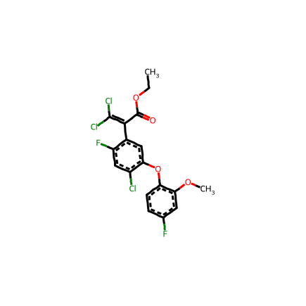 CCOC(=O)C(=C(Cl)Cl)c1cc(Oc2ccc(F)cc2OC)c(Cl)cc1F